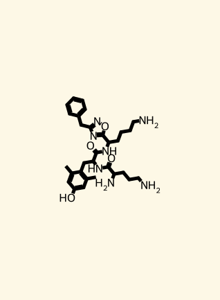 Cc1cc(O)cc(C)c1CC(NC(=O)C(N)CCCN)C(=O)NC(CCCCN)c1nc(Cc2ccccc2)no1